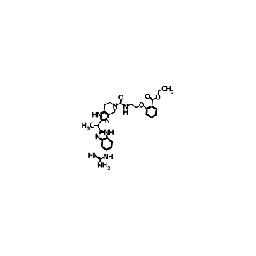 CCOC(=O)c1ccccc1OCCNC(=O)N1CCc2[nH]c(C(C)c3nc4cc(NC(=N)N)ccc4[nH]3)nc2C1